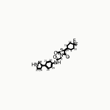 O=C(CN1C(=O)SC(=C2CCC(F)(F)CC2)C1=O)Nc1ccc(-c2cc[nH]n2)cc1